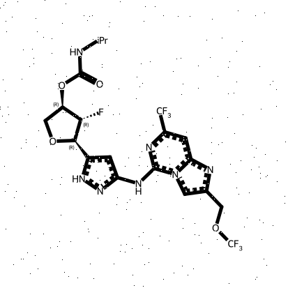 CC(C)NC(=O)O[C@@H]1CO[C@H](c2cc(Nc3nc(C(F)(F)F)cc4nc(COC(F)(F)F)cn34)n[nH]2)[C@H]1F